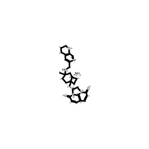 CC1(NCc2cc3c(cn2)OCCC3)CCC2(C[C@@H]3Cn4c(=O)ccc5ccc(=O)n3c54)CC[C@]2(N)C1